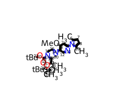 COc1cc(-n2c(C)ccc2C)ncc1N1CCN(C(=O)OC(C)(C)C)[C@@H]([C@H](C)O[Si](C)(C)C(C)(C)C)C1